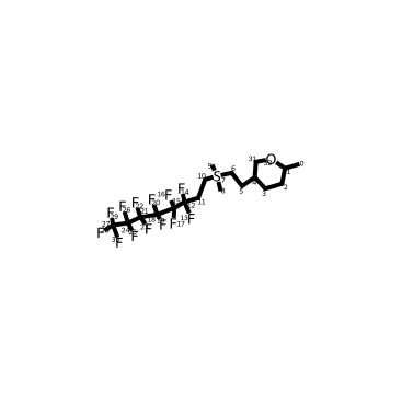 CC1CCC(CCS(C)(C)CCC(F)(F)C(F)(F)C(F)(F)C(F)(F)C(F)(F)C(F)(F)F)CO1